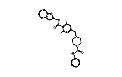 O=C(Nc1nc2ccccc2s1)c1c(F)cc(C=C2CCN(C(=O)Nc3ccccc3)CC2)cc1F